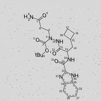 CC(C)(C)OC(=O)N(CCC(N)=O)NC(=O)C(CC1CCC1)NC(=O)c1nc2ccccc2[nH]1